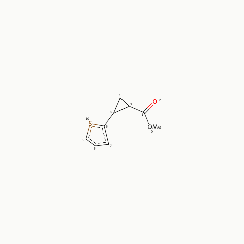 COC(=O)C1CC1c1cccs1